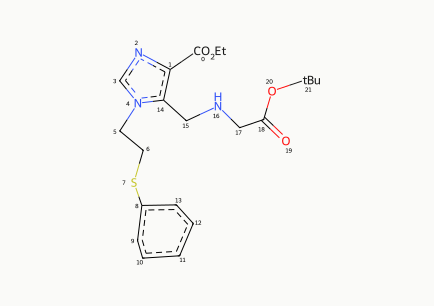 CCOC(=O)c1ncn(CCSc2ccccc2)c1CNCC(=O)OC(C)(C)C